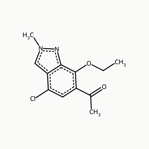 CCOc1c(C(C)=O)cc(Cl)c2cn(C)nc12